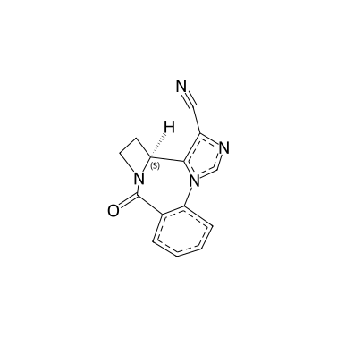 N#Cc1ncn2c1[C@@H]1CCN1C(=O)c1ccccc1-2